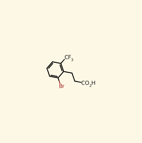 O=C(O)CCc1c(Br)cccc1C(F)(F)F